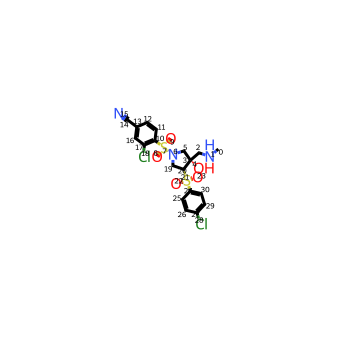 CNC[C@]1(O)CN(S(=O)(=O)c2ccc(C#N)cc2Cl)C[C@@H]1S(=O)(=O)c1ccc(Cl)cc1